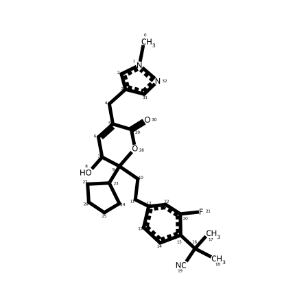 Cn1cc(CC2=CC(O)C(CCc3ccc(C(C)(C)C#N)c(F)c3)(C3CCCC3)OC2=O)cn1